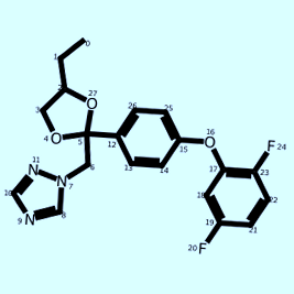 CCC1COC(Cn2cncn2)(c2ccc(Oc3cc(F)ccc3F)cc2)O1